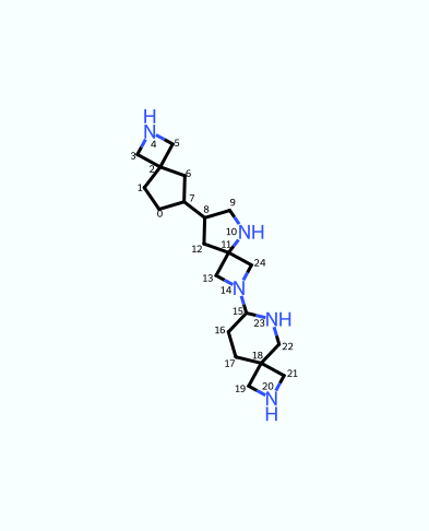 C1CC2(CNC2)CC1C1CNC2(C1)CN(C1CCC3(CNC3)CN1)C2